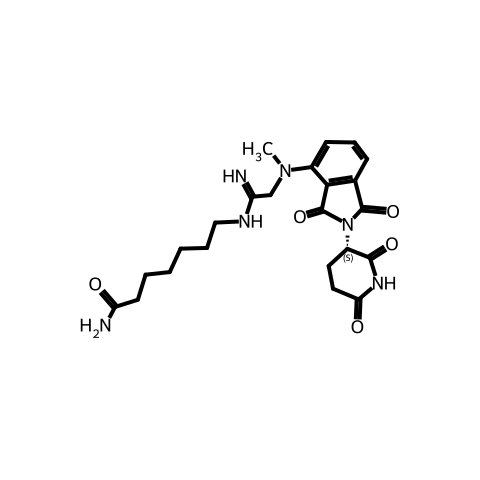 CN(CC(=N)NCCCCCCC(N)=O)c1cccc2c1C(=O)N([C@H]1CCC(=O)NC1=O)C2=O